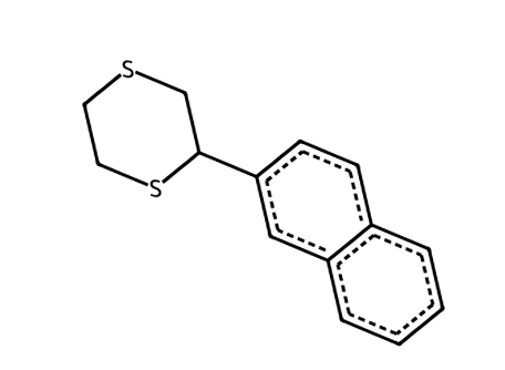 c1ccc2cc(C3CSCCS3)ccc2c1